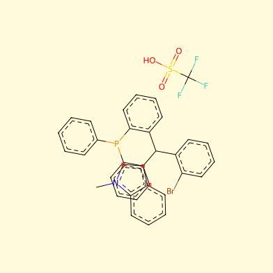 Cn1cc(C(c2ccccc2Br)c2ccccc2P(c2ccccc2)c2ccccc2)c2ccccc21.O=S(=O)(O)C(F)(F)F